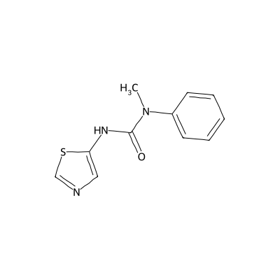 CN(C(=O)Nc1cncs1)c1ccccc1